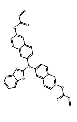 C=CC(=O)Oc1ccc2cc(N(c3ccc4cc(OC(=O)C=C)ccc4c3)c3cc4ccccc4s3)ccc2c1